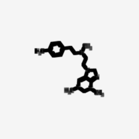 Cc1ccc(CCN(C)CCN2CN=C3C2=CN(C)CN3C)cc1